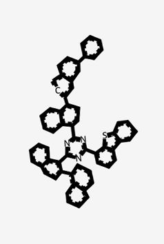 c1ccc(-c2ccc3ccc(-c4ccc(-c5nc(-c6c(-c7cccc8ccccc78)ccc7ccccc67)nc(-c6cccc7c6sc6ccccc67)n5)c5ccccc45)cc3c2)cc1